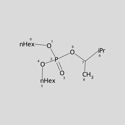 CCCCCCOP(=O)(OCCCCCC)OC(C)C(C)C